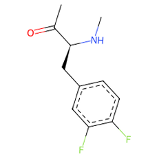 CN[C@@H](Cc1ccc(F)c(F)c1)C(C)=O